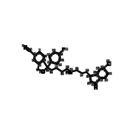 N#Cc1ccc2c(c1)COC2(CCCCNCCCc1c[nH]c2ccc(Cl)cc12)c1ccc(F)cc1